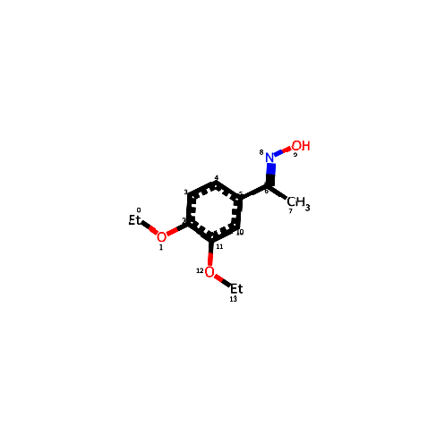 CCOc1ccc(C(C)=NO)cc1OCC